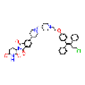 O=C1CCC(N2C(=O)c3ccc(C4CCN(CC5CCN(CCOc6ccc(C(=C(CCCl)c7ccccc7)c7ccccc7)cc6)CC5)CC4)cc3C2=O)C(=O)N1